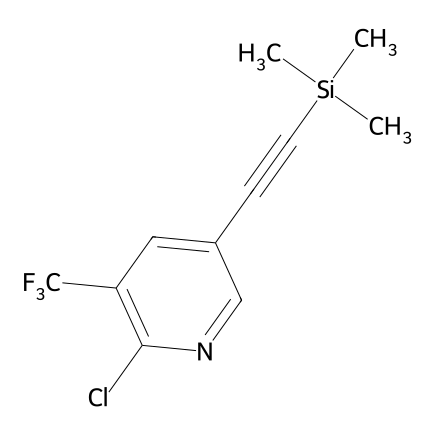 C[Si](C)(C)C#Cc1cnc(Cl)c(C(F)(F)F)c1